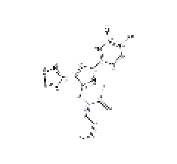 C=C(F)/C(=C\C=C/C)Cn1nc(-c2ncc(F)c(Cl)n2)cc1-c1ccon1